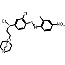 CCN(CC[N+]12CCN(CC1)CC2)c1ccc(N=Nc2ccc([N+](=O)[O-])cc2C)c(Cl)c1